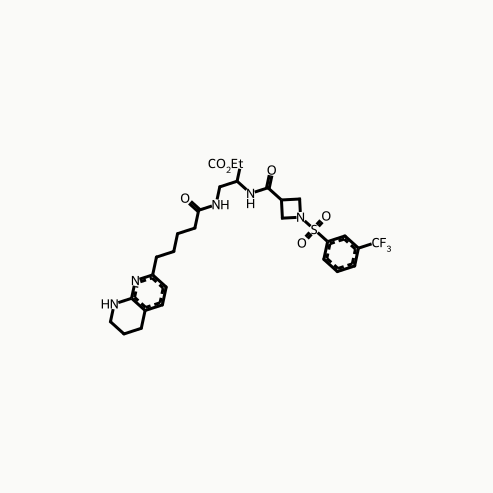 CCOC(=O)C(CNC(=O)CCCCc1ccc2c(n1)NCCC2)NC(=O)C1CN(S(=O)(=O)c2cccc(C(F)(F)F)c2)C1